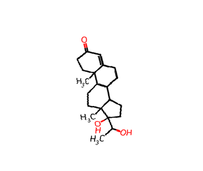 CC(O)C1(O)CCC2C3CCC4=CC(=O)CCC4(C)C3CCC21C